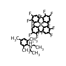 CC[NH+](CC)c1c(C)cc(C)cc1C.Fc1cc(F)c([B-](c2c(F)cc(F)c(F)c2F)(c2c(F)cc(F)c(F)c2F)c2c(F)cc(F)c(F)c2F)c(F)c1F